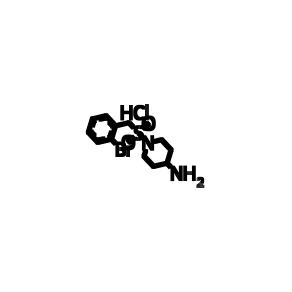 Cl.NC1CCN(S(=O)(=O)Cc2ccccc2Br)CC1